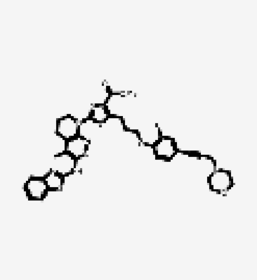 COC(=O)c1nc(N2CCCc3c2nnc(Nc2nc4ccccc4s2)c3C)sc1CCCOc1ccc(C#CCN2CCOCC2)cc1F